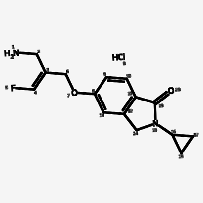 Cl.NCC(=CF)COc1ccc2c(c1)CN(C1CC1)C2=O